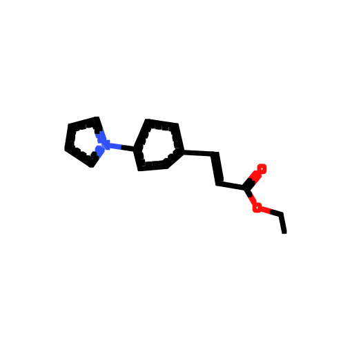 CCOC(=O)/C=C/c1ccc(-n2cccc2)cc1